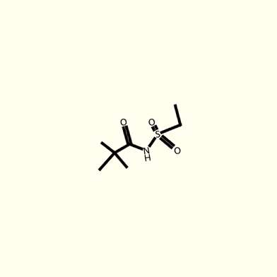 CCS(=O)(=O)NC(=O)C(C)(C)C